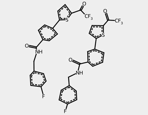 O=C(NCc1ccc(F)cc1)c1ccc(-c2ccc(C(=O)C(F)(F)F)s2)cc1.O=C(NCc1ccc(F)cc1)c1cccc(-c2ccc(C(=O)C(F)(F)F)s2)c1